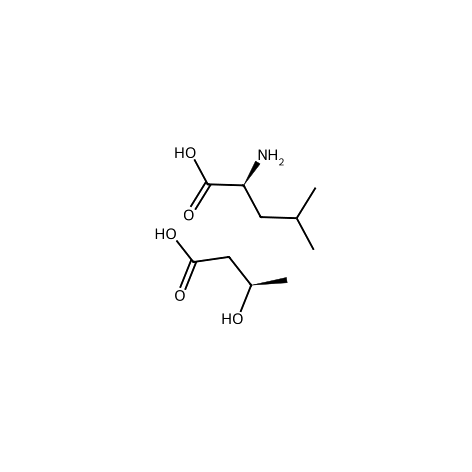 CC(C)C[C@H](N)C(=O)O.C[C@@H](O)CC(=O)O